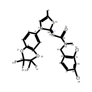 Cc1cn(-c2ccc3c(c2)OC(F)(F)C(F)(F)O3)/c(=N/C(=O)N(C)Cc2ccc(Cl)cc2Cl)s1